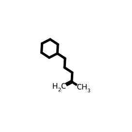 C=C(C)CCCC1CCCCC1